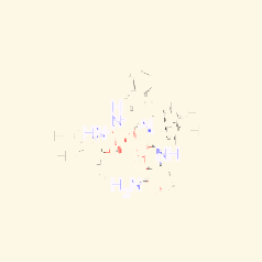 CC(C)[C@H](NC(=O)N[C@H](C(=O)N1C[C@H]2[C@@H]([C@H]1C(=O)NC(C(=O)C(N)=O)C1CC1)C2(C)C)C1Cc2ccccc2C1)C(=O)C1CC1